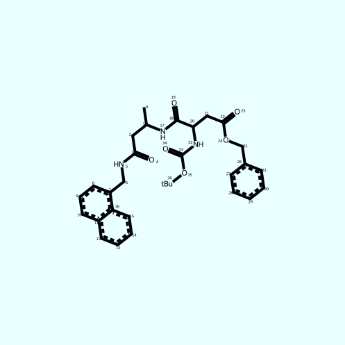 CC(CC(=O)NCc1cccc2ccccc12)NC(=O)C(CC(=O)OCc1ccccc1)NC(=O)OC(C)(C)C